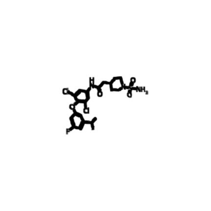 CC(C)c1cc(F)cc(Oc2c(Cl)cc(NC(=O)CC3CCN(S(N)(=O)=O)CC3)cc2Cl)c1